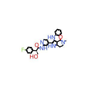 CN1CCc2[nH]c(-c3ccnc(NC(=O)[C@@H](CO)c4ccc(F)cc4)c3)c(Nc3ccccc3)c2C1=O